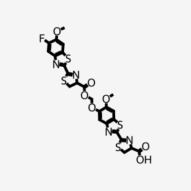 COc1cc2sc(C3=NC(C(=O)OCOc4cc5nc(C6=NC(C(=O)O)CS6)sc5cc4OC)CS3)nc2cc1F